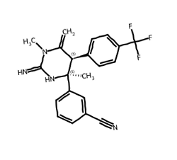 C=C1[C@@H](c2ccc(C(F)(F)F)cc2)[C@@](C)(c2cccc(C#N)c2)NC(=N)N1C